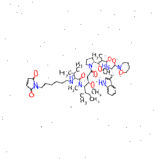 CC[C@H](C)[C@@H]([C@@H](CC(=O)N1CCC[C@H]1[C@H](OC)[C@@H](C)C(=O)N[C@@H](Cc1c[nH]c2ccccc12)C(=O)N1CCCCO1)OC)N(C)C(=O)[C@@H](NCCCCCCN1C(=O)C=CC1=O)C(C)C